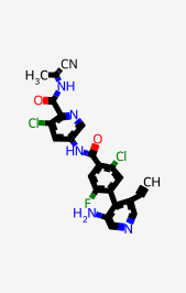 C#Cc1cncc(N)c1-c1cc(Cl)c(C(=O)Nc2cnc(C(=O)NC(C)C#N)c(Cl)c2)cc1F